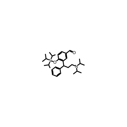 CC(C)N(CCC(c1ccccc1)c1cc(C=O)ccc1O[Si](C(C)C)(C(C)C)C(C)C)C(C)C